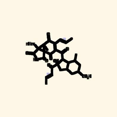 C/C=C/C(=O)C1(O)CC2CC(C(=O)O)CC(C)C2C1C(=O)C1=C(/C=C/C)C(=O)C2(C)C3(CCCCCC)C(=O)NC(=O)C23C1=O